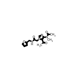 CC(=O)c1c(N(C)C(C)=O)ncn1CC(=O)NCc1ccco1